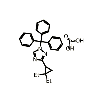 CCC1(CC)CC1c1ncn(C(c2ccccc2)(c2ccccc2)c2ccccc2)n1.O=[PH](O)O